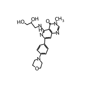 Cn1cnc2cc(-c3ccc(N4CCOCC4)cc3)nc(NC[C@H](O)CO)c2c1=O